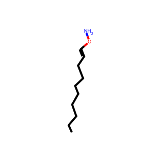 CCCCCCCCC=CON